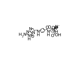 [2H]C(CC(NC(=O)c1ccc(NCc2cnc3nc(N)[nH]c(=O)c3n2)cc1)C(=O)O)(N=[N+]=[N-])C(=O)O